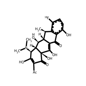 CC(=O)C1=C(O)[C@@H](N(C)C)[C@@H]2[C@@H](O)[C@H]3C(=C(O)[C@]2(O)C1=O)C(=O)c1c(O)ccc([18F])c1[C@@H]3C